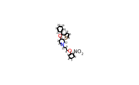 O=[N+]([O-])c1ccccc1OCCCN1CCC(OC(c2ccccc2)c2cccs2)CC1